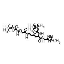 Cn1nnc(CNC(=O)C(CCCCNC(=O)CONC(=O)OC(C)(C)C)NC(=O)C[N+](C)(C)C)n1